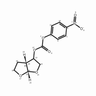 O=C(Oc1ccc([N+](=O)[O-])cc1)OC1CO[C@@H]2OCC[C@H]12